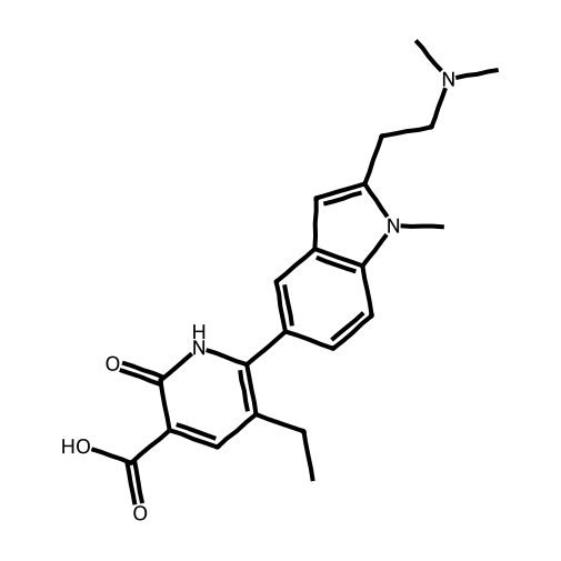 CCc1cc(C(=O)O)c(=O)[nH]c1-c1ccc2c(c1)cc(CCN(C)C)n2C